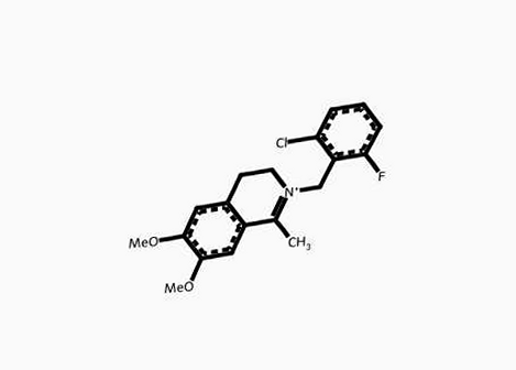 COc1cc2c(cc1OC)C(C)=[N+](Cc1c(F)cccc1Cl)CC2